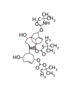 CC(C)(C)NC(=O)OC1CCCC(O)C/C=C/1C1CC(O)C/C=C(\C2CC(O)C/C=C/C(OC(=O)OC(C)(C)C)C2)C(OC(=O)SC(C)(C)C)C1